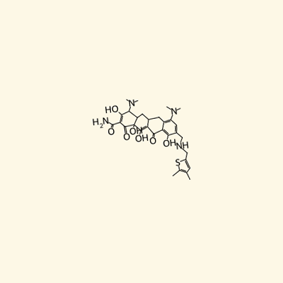 Cc1cc(CNCc2cc(N(C)C)c3c(c2O)C(=O)C2=C(O)C4(O)C(=O)C(C(N)=O)=C(O)C(N(C)C)C4CC2C3)sc1C